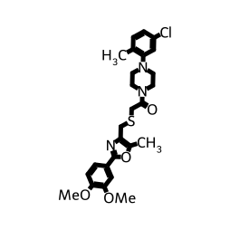 COc1ccc(-c2nc(CSCC(=O)N3CCN(c4cc(Cl)ccc4C)CC3)c(C)o2)cc1OC